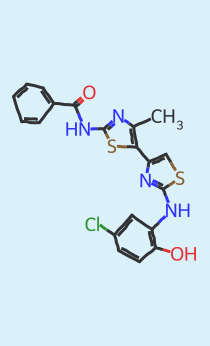 Cc1nc(NC(=O)c2ccccc2)sc1-c1csc(Nc2cc(Cl)ccc2O)n1